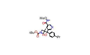 CON(C)C(=O)c1cncc([C@@](O)(c2ccc(C(C)C)cc2)C2(C)CN(C(=O)OC(C)(C)C)C2)c1